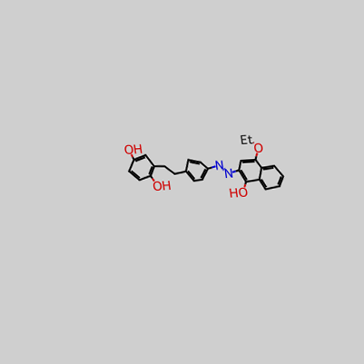 CCOc1cc(N=Nc2ccc(CCc3cc(O)ccc3O)cc2)c(O)c2ccccc12